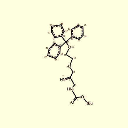 CC(C)(C)OC(=O)NCC(=N)COCCOC(c1ccccc1)(c1ccccc1)c1ccccc1